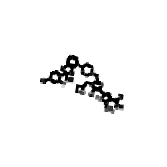 Cc1c(-c2cc(C(=O)O)n(C)n2)nc(CN2CCC(c3cccc4c3OC(C)(c3ccc(Cl)cc3F)O4)CC2)n1CC1CCO1